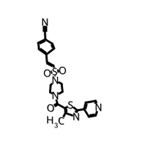 Cc1nc(-c2ccncc2)sc1C(=O)N1CCN(S(=O)(=O)C=Cc2ccc(C#N)cc2)CC1